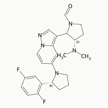 CN(C)[C@H]1CCN(C=O)C1c1cnn2ccc(N3CCC[C@@H]3c3cc(F)ccc3F)cc12